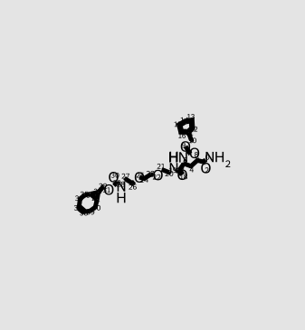 NC(=O)CCC(NC(=O)OCc1ccccc1)C(=O)NCCOCCOCCNC(=O)OCC1C2CCC#CCCC21